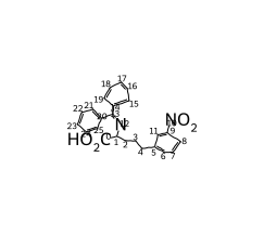 O=C(O)C(CCCc1cccc([N+](=O)[O-])c1)N=C(c1ccccc1)c1ccccc1